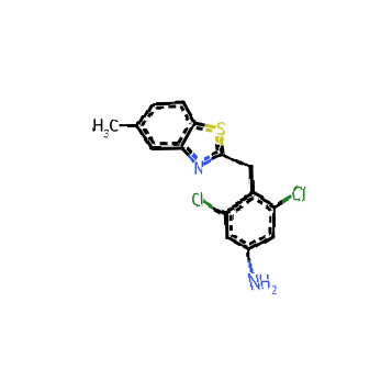 Cc1ccc2sc(Cc3c(Cl)cc(N)cc3Cl)nc2c1